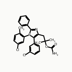 Cc1ccc(Cl)cc1-n1c(-c2ccccc2)nc(CC(C)(C)OC(N)=O)c1-c1cccc(Cl)c1